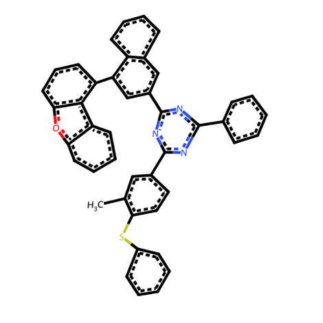 Cc1cc(-c2nc(-c3ccccc3)nc(-c3cc(-c4cccc5oc6ccccc6c45)c4ccccc4c3)n2)ccc1Sc1ccccc1